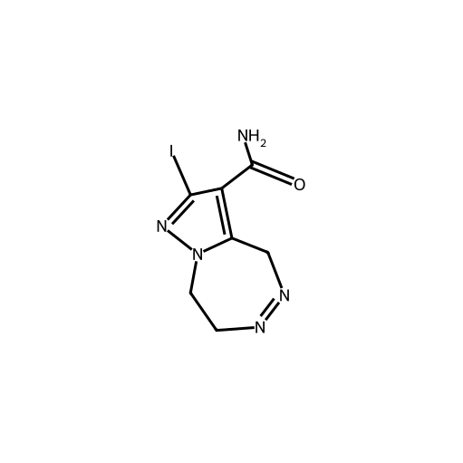 NC(=O)c1c(I)nn2c1CN=NCC2